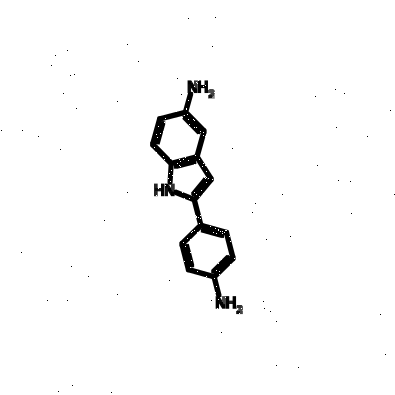 Nc1ccc(-c2cc3cc(N)ccc3[nH]2)cc1